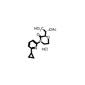 CC(=O)O[C@@H](C(=O)O)[C@H]1OCCN(c2cccc(C3CC3)n2)C1=O.Cl